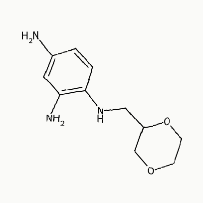 Nc1ccc(NCC2COCCO2)c(N)c1